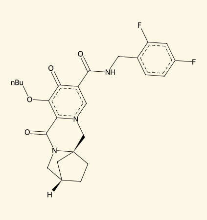 CCCCOc1c2n(cc(C(=O)NCc3ccc(F)cc3F)c1=O)C[C@]13CC[C@H](CN1C2=O)C3